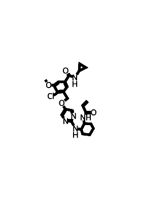 C=CC(=O)NC1CCCCC1Nc1ncc(OCc2cc(C(=O)NC3CC3)cc(OC)c2Cl)cn1